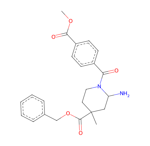 COC(=O)c1ccc(C(=O)N2CCC(C)(C(=O)OCc3ccccc3)CC2N)cc1